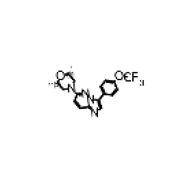 C[C@@H]1CN(c2ccc3ncc(-c4ccc(OC(F)(F)F)cc4)n3n2)C[C@H](C)O1